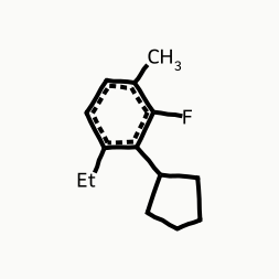 CCc1ccc(C)c(F)c1C1CCCC1